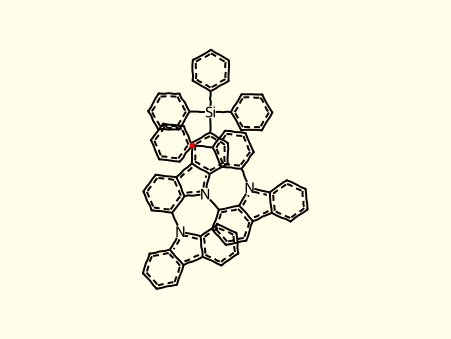 c1ccc(-c2cccc(-n3c4ccccc4c4cccc(-n5c6ccc([Si](c7ccccc7)(c7ccccc7)c7ccccc7)cc6c6cccc(-n7c8ccccc8c8ccccc87)c65)c43)c2)cc1